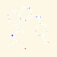 CC(C)[C@@H](CO)NC(=O)c1cccc2cnc(NC3CCC(O)CC3)nc12